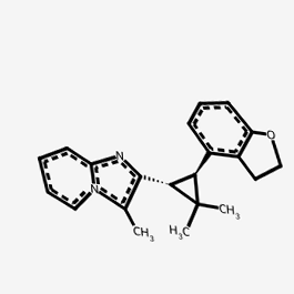 Cc1c([C@@H]2[C@@H](c3cccc4c3CCO4)C2(C)C)nc2ccccn12